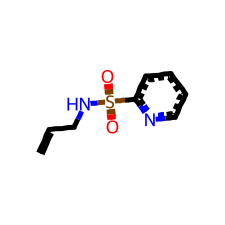 C=CCNS(=O)(=O)c1ccccn1